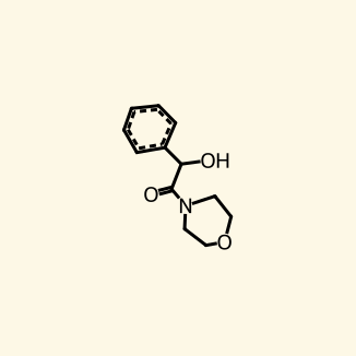 O=C(C(O)c1ccccc1)N1CCOCC1